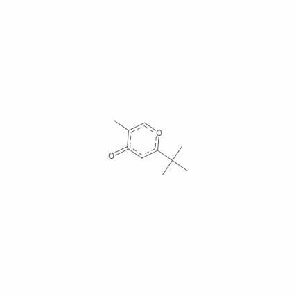 Cc1coc(C(C)(C)C)cc1=O